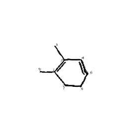 CC1=C(C)C=CC[CH]1